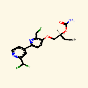 CC(C)C[C@@](C)(COc1ccc(-c2ccnc(C(F)F)c2)nc1CF)OC(N)=O